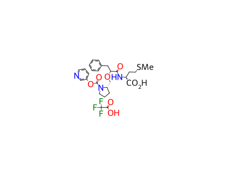 CSCC[C@H](NC(=O)C(Cc1ccccc1)OC[C@@H]1CCCN1C(=O)Oc1cccnc1)C(=O)O.O=C(O)C(F)(F)F